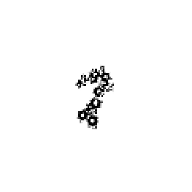 CC(C)(C)OC(=O)n1ccc2c(-c3cc(C(=O)c4nc5ccc(N6CCC(O[Si](c7ccccc7)(c7ccccc7)C(C)(C)C)CC6)nc5[nH]4)ccc3C#N)cncc21